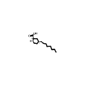 CCCCCCCC[C@H]1CCN[C@@H](C(=O)O)C1